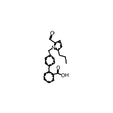 CCCc1ccc(C=O)n1Cc1ccc(-c2ccccc2C(=O)O)cc1